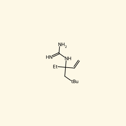 C=CC(CC)(CC(C)(C)C)NC(=N)N